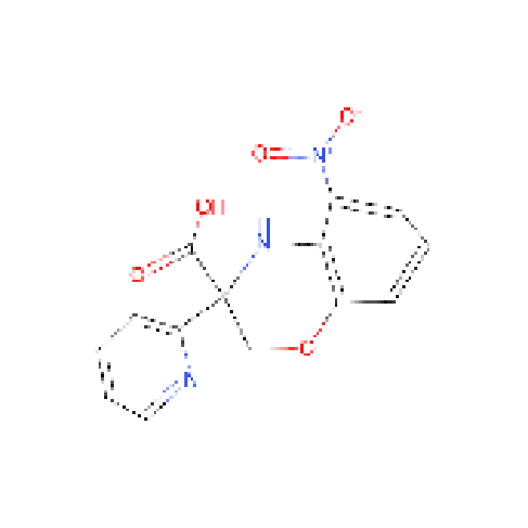 O=C(O)C1(c2ccccn2)COc2cccc([N+](=O)[O-])c2N1